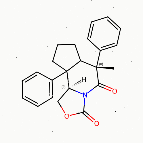 C[C@@]1(c2ccccc2)C(=O)N2C(=O)OC[C@H]2C2(c3ccccc3)CCCC21